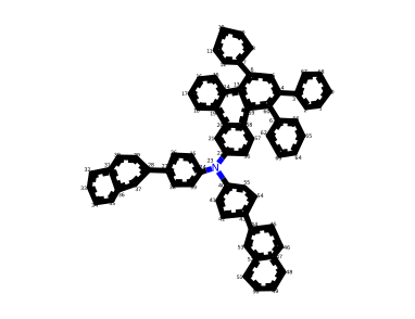 c1ccc(-c2cc(-c3ccccc3)c3c4ccccc4c4cc(N(c5ccc(-c6ccc7ccccc7c6)cc5)c5ccc(-c6ccc7ccccc7c6)cc5)ccc4c3c2-c2ccccc2)cc1